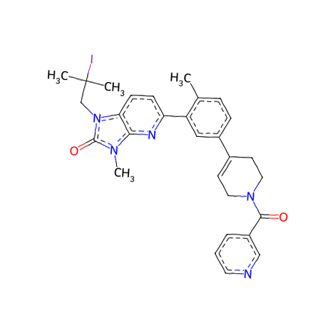 Cc1ccc(C2=CCN(C(=O)c3cccnc3)CC2)cc1-c1ccc2c(n1)n(C)c(=O)n2CC(C)(C)I